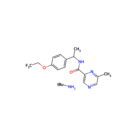 CC(C)(C)N.Cc1cncc(C(=O)NC(C)c2ccc(OCC(F)(F)F)cc2)n1